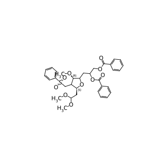 COC(C[C@@H]1OC(CC(COC(=O)c2ccccc2)OC(=O)c2ccccc2)[C@H](OC)C1CS(=O)(=O)c1ccccc1)OC